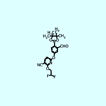 CC1(C)OB(c2ccc(Oc3ccc(C#N)c(OCC(F)F)n3)cc2C=O)OC1(C)C